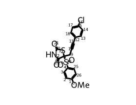 COc1ccc(S(=O)(=O)C2(CC#Cc3ccc(Cl)cc3)SC(=O)NC2=O)cc1